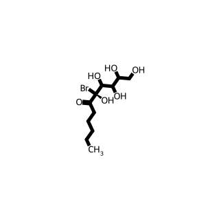 CCCCCC(=O)[C@](O)(Br)C(O)C(O)C(O)CO